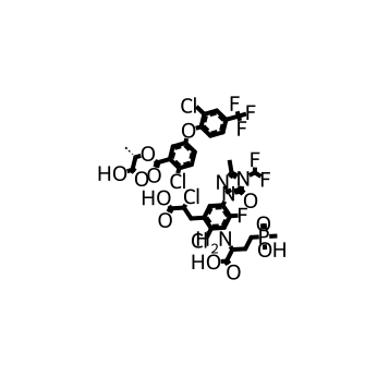 CP(=O)(O)CCC(N)C(=O)O.C[C@H](OC(=O)c1cc(Oc2ccc(C(F)(F)F)cc2Cl)ccc1Cl)C(=O)O.Cc1nn(-c2cc(CC(Cl)C(=O)O)c(Cl)cc2F)c(=O)n1C(F)F